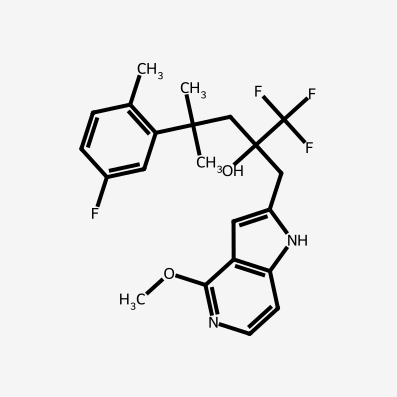 COc1nccc2[nH]c(CC(O)(CC(C)(C)c3cc(F)ccc3C)C(F)(F)F)cc12